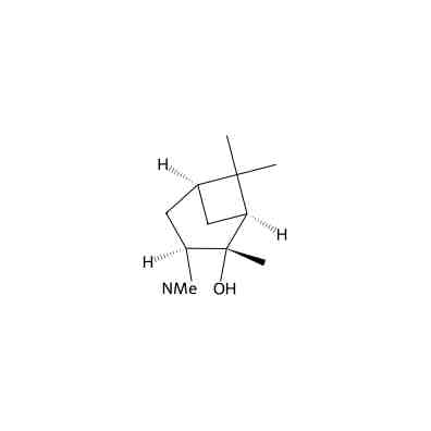 CN[C@H]1C[C@@H]2C[C@@H](C2(C)C)[C@]1(C)O